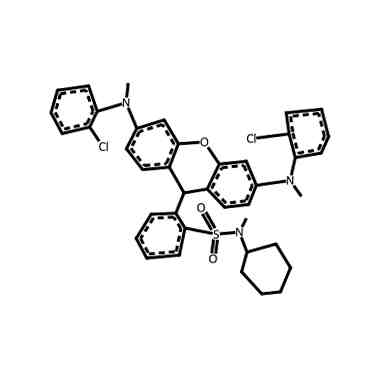 CN(c1ccc2c(c1)Oc1cc(N(C)c3ccccc3Cl)ccc1C2c1ccccc1S(=O)(=O)N(C)C1CCCCC1)c1ccccc1Cl